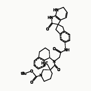 CC(C)(C)OC(=O)N1CCCC(C)(C(=O)N(CC(=O)Nc2ccc3c(c2)CC2(C3)C(=O)NC3=C2C=CCN3)C2CCCc3ccccc32)C1